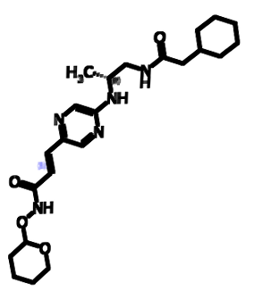 C[C@H](CNC(=O)CC1CCCCC1)Nc1cnc(/C=C/C(=O)NOC2CCCCO2)cn1